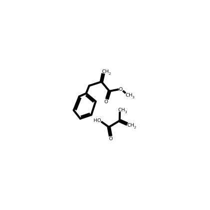 C=C(C)C(=O)O.C=C(Cc1ccccc1)C(=O)OC